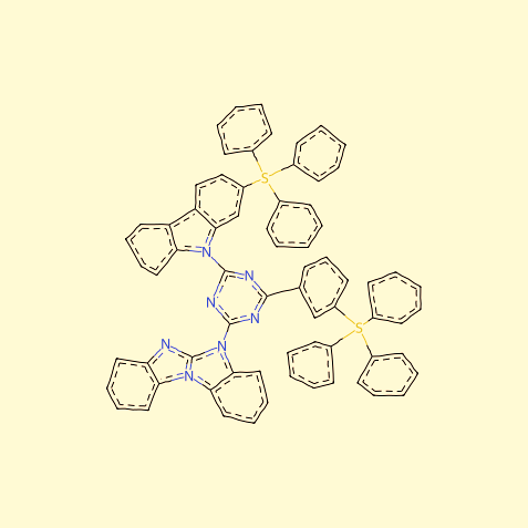 c1ccc(S(c2ccccc2)(c2ccccc2)c2cccc(-c3nc(-n4c5ccccc5c5ccc(S(c6ccccc6)(c6ccccc6)c6ccccc6)cc54)nc(-n4c5ccccc5n5c6ccccc6nc45)n3)c2)cc1